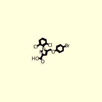 O=C(O)c1cc(COC2=CCC(Br)C=C2)n(-c2c(Cl)cccc2Cl)n1